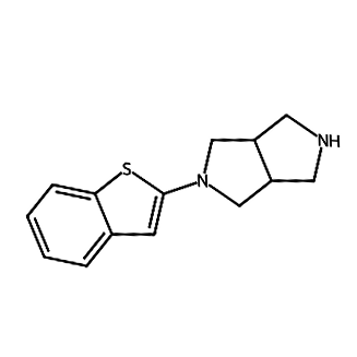 c1ccc2sc(N3CC4CNCC4C3)cc2c1